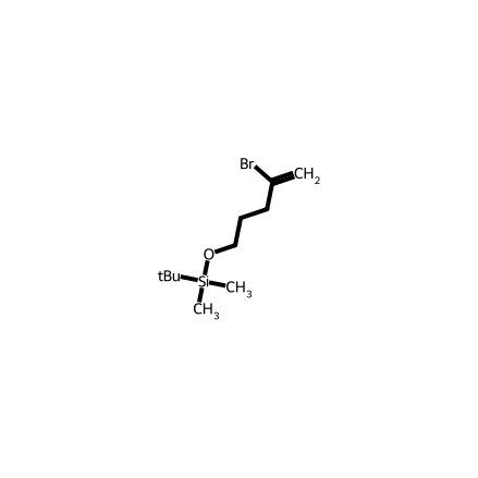 C=C(Br)CCCO[Si](C)(C)C(C)(C)C